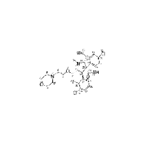 CN1[C@@H](COCCN2CCOCC2)[C@H](c2cccc(Cl)c2F)[C@@]2(C(=O)Nc3cc(Cl)ccc32)[C@H]1CC(C)(C)C